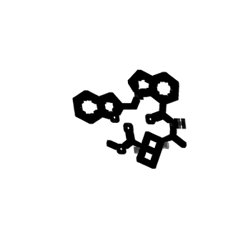 COC(=O)[C@]12CCC1[C@H](C(C)NC(=O)c1cccc3ccn(Cc4cc5ccccc5o4)c13)C2